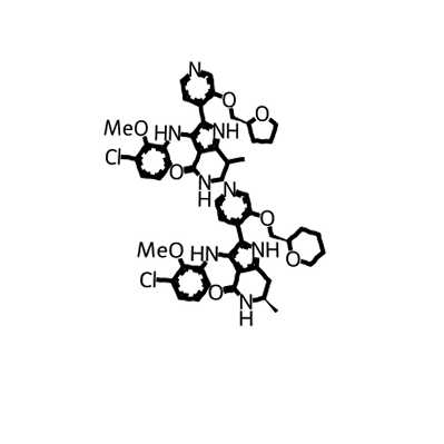 COc1c(Cl)cccc1Nc1c(-c2ccncc2OC[C@@H]2CCCO2)[nH]c2c1C(=O)NCC2C.COc1c(Cl)cccc1Nc1c(-c2ccncc2OC[C@H]2CCCCO2)[nH]c2c1C(=O)N[C@H](C)C2